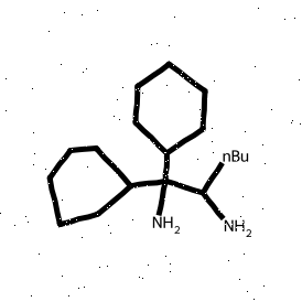 CCCCC(N)C(N)(C1CCCCC1)C1CCCCC1